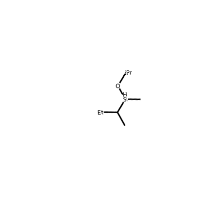 CCC(C)[SiH](C)OC(C)C